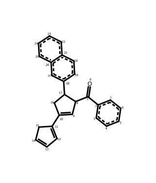 O=C(c1ccccc1)C1C=C(C2=CC=CC2)CC1c1ccc2ccccc2c1